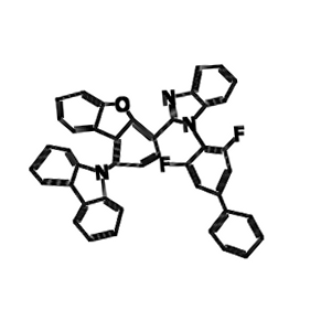 Fc1cc(-c2ccccc2)cc(F)c1-n1c(-c2ccc(-n3c4ccccc4c4ccccc43)c3c2oc2ccccc23)nc2ccccc21